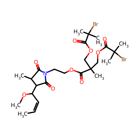 C/C=C\C(OC)C1C(=O)N(CCOC(=O)C(C)(COC(=O)C(C)(C)Br)COC(=O)C(C)(C)Br)C(=O)C1C